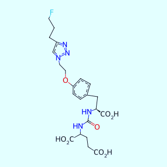 O=C(O)CCC(NC(=O)N[C@@H](Cc1ccc(OCCn2cc(CCCF)nn2)cc1)C(=O)O)C(=O)O